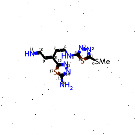 CSc1nnc(N/C=C\C(=C/C=N)c2nnc(N)s2)s1